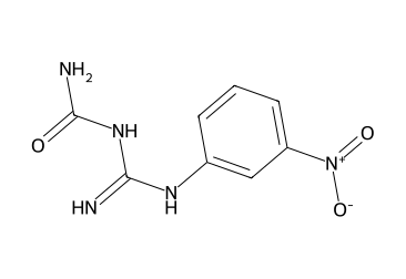 N=C(NC(N)=O)Nc1cccc([N+](=O)[O-])c1